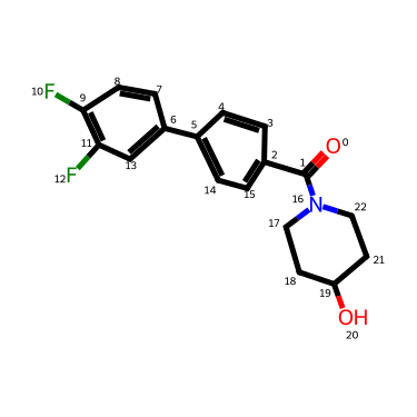 O=C(c1ccc(-c2ccc(F)c(F)c2)cc1)N1CCC(O)CC1